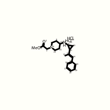 COC(=O)CN1CCC(NC2CC2/C(C)=C/c2ccccc2)CC1.Cl.Cl